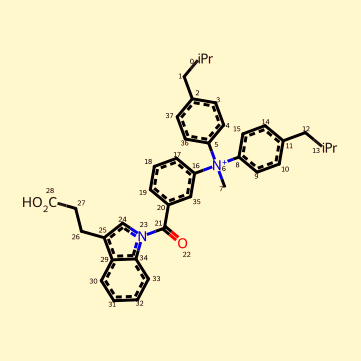 CC(C)Cc1ccc([N+](C)(c2ccc(CC(C)C)cc2)c2cccc(C(=O)n3cc(CCC(=O)O)c4ccccc43)c2)cc1